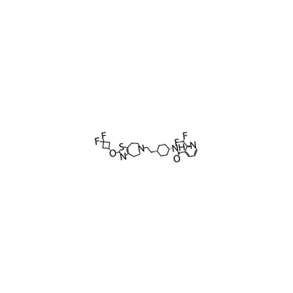 O=C(N[C@H]1CC[C@H](CCN2CCc3nc(OC4CC(F)(F)C4)sc3CC2)CC1)c1cccnc1C(F)F